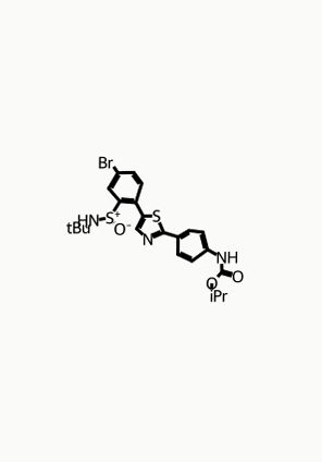 CC(C)OC(=O)Nc1ccc(-c2ncc(-c3ccc(Br)cc3[S+]([O-])NC(C)(C)C)s2)cc1